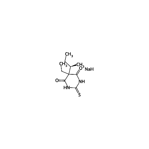 CC[C@@H](C)C1(CC)C(=O)NC(=S)NC1=O.[NaH]